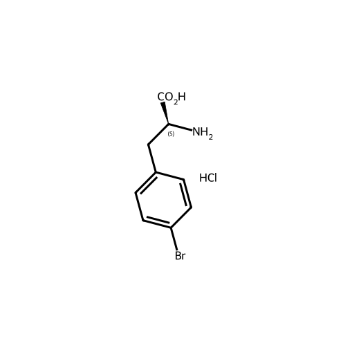 Cl.N[C@@H](Cc1ccc(Br)cc1)C(=O)O